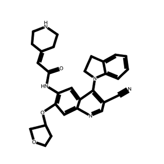 N#Cc1cnc2cc(OC3CCOC3)c(NC(=O)C=C3CCNCC3)cc2c1N1CCc2ccccc21